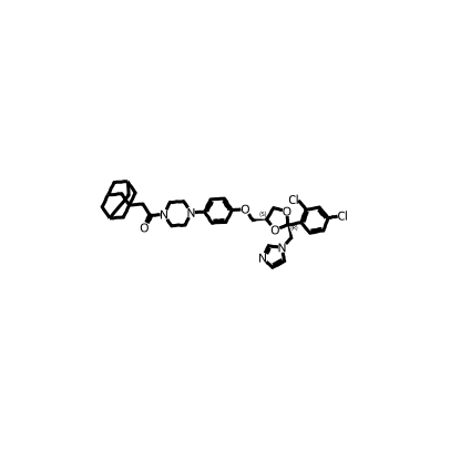 O=C(CC12CC3CC(CC(C3)C1)C2)N1CCN(c2ccc(OC[C@H]3CO[C@](Cn4ccnc4)(c4ccc(Cl)cc4Cl)O3)cc2)CC1